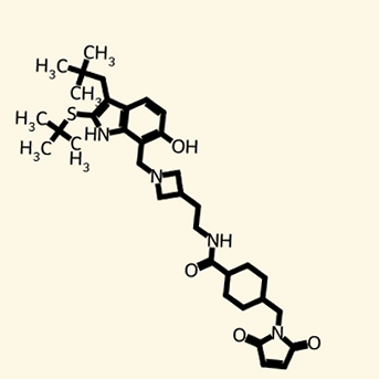 CC(C)(C)Cc1c(SC(C)(C)C)[nH]c2c(CN3CC(CCNC(=O)C4CCC(CN5C(=O)C=CC5=O)CC4)C3)c(O)ccc12